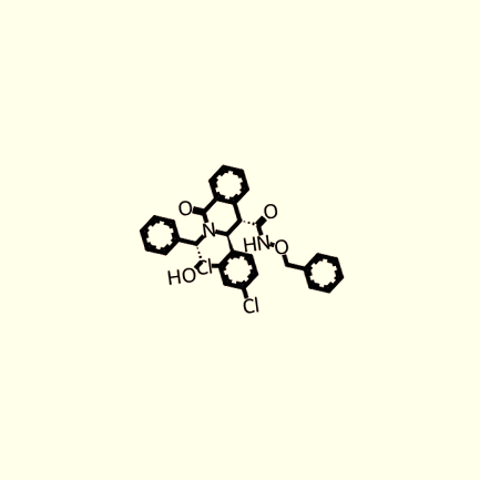 O=C(NOCc1ccccc1)[C@H]1c2ccccc2C(=O)N([C@H](CO)c2ccccc2)[C@@H]1c1ccc(Cl)cc1Cl